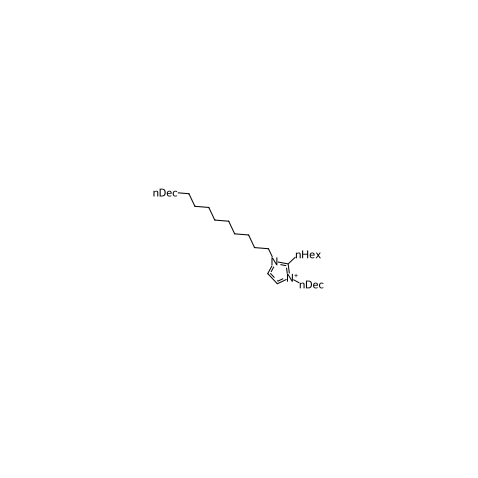 CCCCCCCCCCCCCCCCCCCn1cc[n+](CCCCCCCCCC)c1CCCCCC